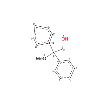 COC(CO)(c1ccccc1)c1ccccc1